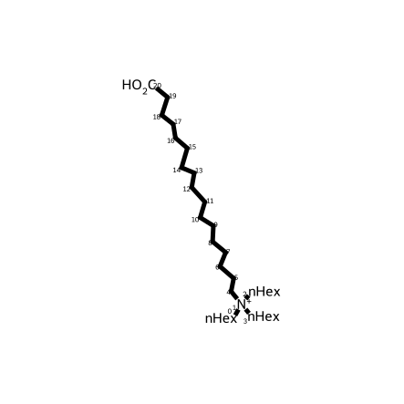 CCCCCC[N+](CCCCCC)(CCCCCC)CCCCCCCCCCCCCCCCC(=O)O